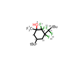 CC(C)(C)C1CC(O)(C(F)(F)F)C(F)(F)C(F)(C(F)(F)C(C)(C)C)C1